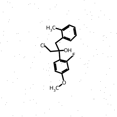 COc1ccc(C(O)(CCl)Cc2ccccc2C)c(F)c1